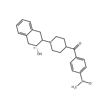 C[S+]([O-])c1ccc(C(=O)C2CCN(C3Cc4ccccc4C[C@H]3O)CC2)cc1